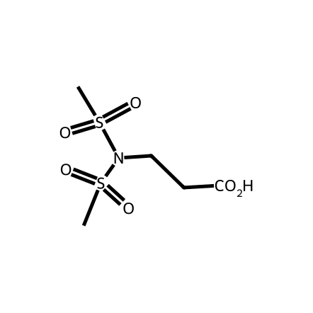 CS(=O)(=O)N(CCC(=O)O)S(C)(=O)=O